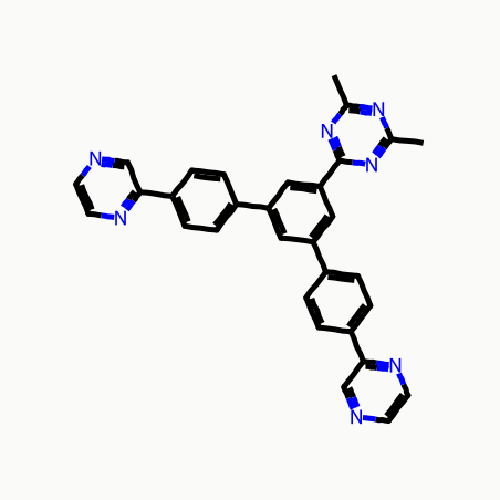 Cc1nc(C)nc(-c2cc(-c3ccc(-c4cnccn4)cc3)cc(-c3ccc(-c4cnccn4)cc3)c2)n1